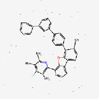 Bc1nc(-c2cccc3c2oc2c(-c4ccc(-c5cccc(-c6ccccc6)c5)cc4)c(C#N)ccc23)c(B)c(F)c1C(C)(C)C